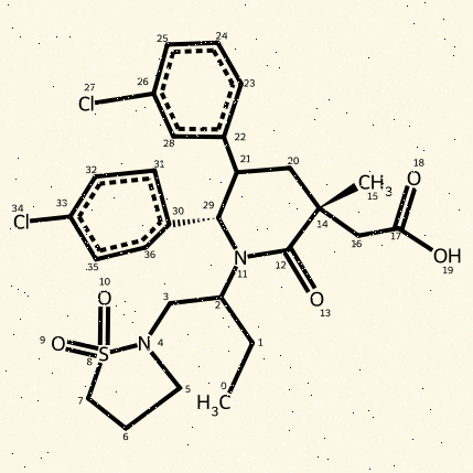 CCC(CN1CCCS1(=O)=O)N1C(=O)[C@@](C)(CC(=O)O)CC(c2cccc(Cl)c2)[C@H]1c1ccc(Cl)cc1